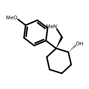 CNC[C@]1(c2ccc(OC)cc2)CCCC[C@H]1O